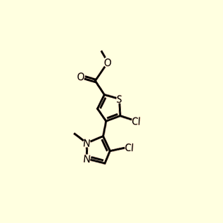 COC(=O)c1cc(-c2c(Cl)cnn2C)c(Cl)s1